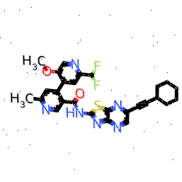 COc1cnc(C(F)F)cc1-c1cc(C)ncc1C(=O)Nc1nc2ncc(C#CC3CCCCC3)nc2s1